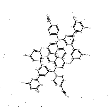 [C-]#[N+]c1ccc(N(c2cc(-c3cc(F)cc(F)c3)cc(-c3cc(F)cc(F)c3)c2)c2ccc3ccc4c(N(c5ccc(C#N)cc5)c5cc(-c6cc(F)cc(F)c6)cc(-c6cc(F)cc(F)c6)c5)ccc5ccc2c3c54)cc1